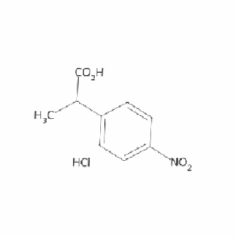 CC(C(=O)O)c1ccc([N+](=O)[O-])cc1.Cl